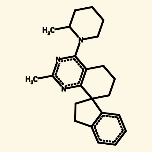 Cc1nc(N2CCCCC2C)c2c(n1)C1(CCC2)CCc2ccccc21